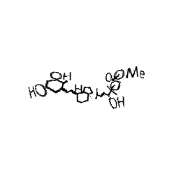 C=C1/C(=C\C=C2/CCC[C@]3(C)[C@@H](C(C)(C)/C=C/[C@@H](O)C(C)(C)OC(=O)OC)CC[C@@H]23)C[C@@H](O)C[C@@H]1O